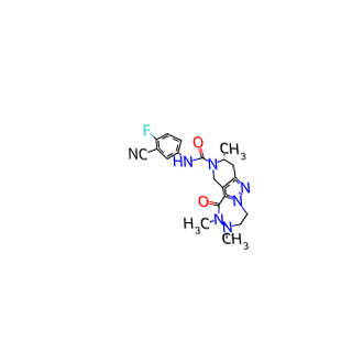 C[C@@H]1Cc2nn3c(c2CN1C(=O)Nc1ccc(F)c(C#N)c1)C(=O)N(C)N(C)CC3